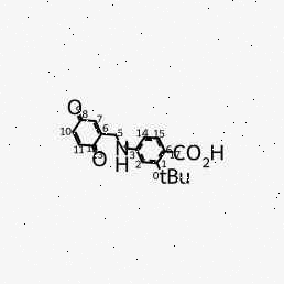 CC(C)(C)c1cc(NCC2=CC(=O)C=CC2=O)ccc1C(=O)O